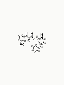 CC(=O)c1cccc(NC(=O)NCC[C@@H]2C[C@@H](Cc3ccccc3)CCN2)c1